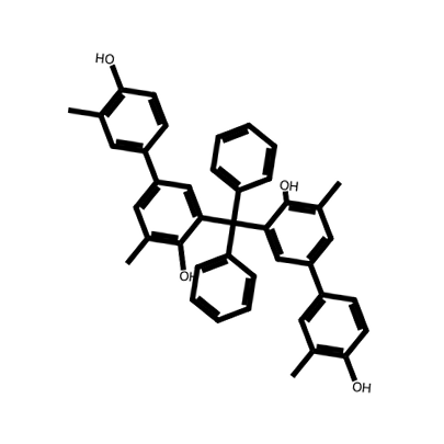 Cc1cc(-c2cc(C)c(O)c(C(c3ccccc3)(c3ccccc3)c3cc(-c4ccc(O)c(C)c4)cc(C)c3O)c2)ccc1O